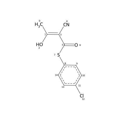 CC(O)=C(C#N)C(=O)Sc1ccc(Cl)cc1